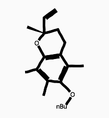 C=C[C@]1(C)CCc2c(C)c(OCCCC)c(C)c(C)c2O1